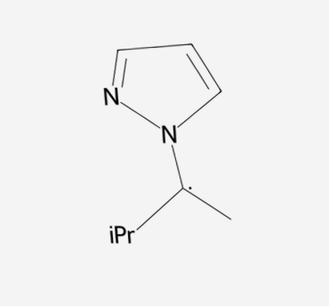 C[C](C(C)C)n1cccn1